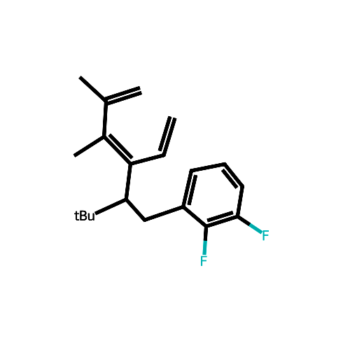 C=C/C(=C(/C)C(=C)C)C(Cc1cccc(F)c1F)C(C)(C)C